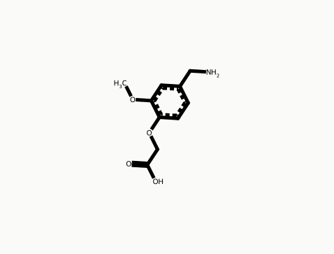 COc1cc(CN)ccc1OCC(=O)O